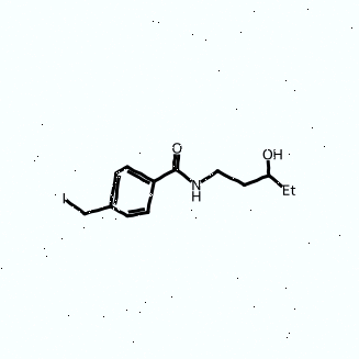 CCC(O)CCNC(=O)c1ccc(CI)cc1